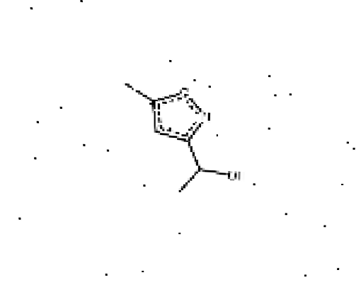 Cc1cc(C(C)O)no1